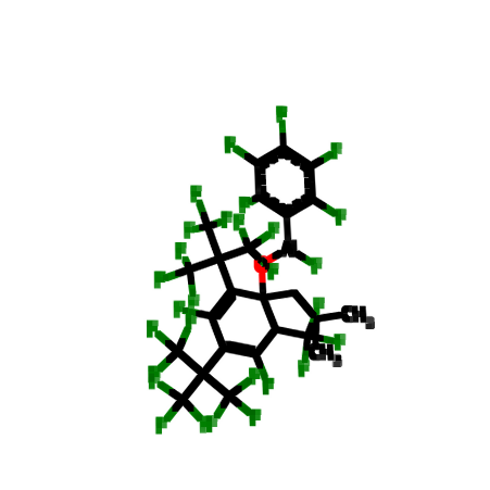 CC(C)CC1([O][Al]([F])[c]2c(F)c(F)c(F)c(F)c2F)C(C(C(F)(F)F)(C(F)(F)F)C(F)(F)F)=C(F)C(C(C(F)(F)F)(C(F)(F)F)C(F)(F)F)=C(F)C1C(F)(F)F